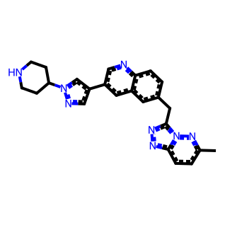 Cc1ccc2nnc(Cc3ccc4ncc(-c5cnn(C6CCNCC6)c5)cc4c3)n2n1